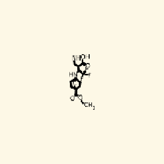 CCOC(=O)C12CCC(N/C(=C(\C=N)C(=O)O)C(F)(F)F)(CC1)CC2